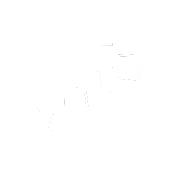 NC(=NO)c1ccc(-c2cn3cccc(C(=O)O)c3n2)cc1